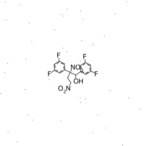 O=[N+]([O-])CCC(c1cc(F)cc(F)c1)(C(O)c1cc(F)cc(F)c1)[N+](=O)[O-]